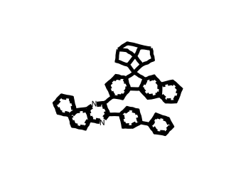 c1ccc(-c2ccc(-c3nc4ccc5ccccc5c4nc3-c3ccc4c(c3)-c3cc5ccccc5cc3C43C4CC5CC6CC3C4(C5)C6)cc2)cc1